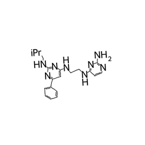 CC(C)CNc1nc(NCCNc2ccnc(N)n2)cc(-c2ccccc2)n1